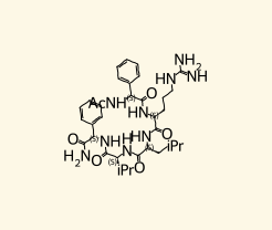 CC(=O)N[C@H](C(=O)N[C@@H](CCCNC(=N)N)C(=O)N[C@@H](CC(C)C)C(=O)N[C@H](C(=O)N[C@H](C(N)=O)c1ccccc1)C(C)C)c1ccccc1